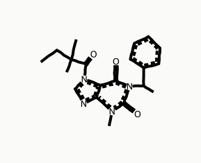 CCC(C)(C)C(=O)n1cnc2c1c(=O)n(C(C)c1ccccc1)c(=O)n2C